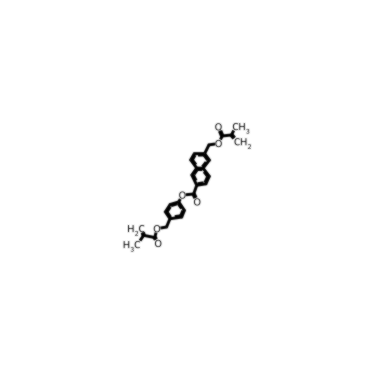 C=C(C)C(=O)OCc1ccc(OC(=O)c2ccc3cc(COC(=O)C(=C)C)ccc3c2)cc1